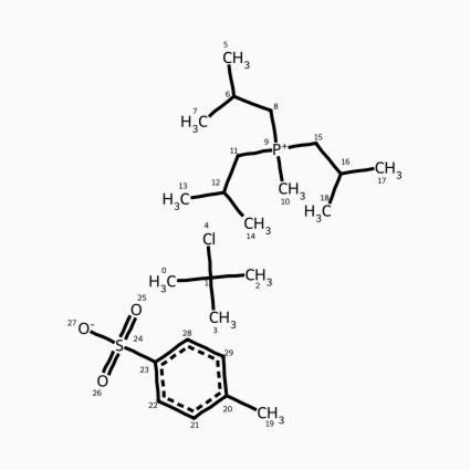 CC(C)(C)Cl.CC(C)C[P+](C)(CC(C)C)CC(C)C.Cc1ccc(S(=O)(=O)[O-])cc1